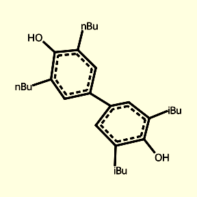 CCCCc1cc(-c2cc(C(C)CC)c(O)c(C(C)CC)c2)cc(CCCC)c1O